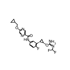 N/C(=N/C(F)F)O[C@@H]1C[C@@H]1c1cc(NC(=O)c2cnc(OCC3CC3)cn2)ccc1F